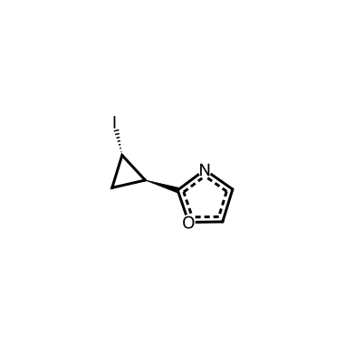 I[C@H]1C[C@@H]1c1ncco1